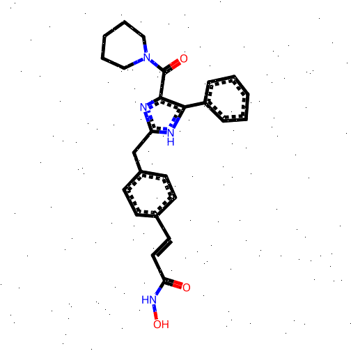 O=C(/C=C/c1ccc(Cc2nc(C(=O)N3CCCCC3)c(-c3ccccc3)[nH]2)cc1)NO